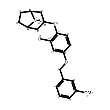 COc1cccc(COc2ccc(SC3CC4CCC(C3)N4C)c(Cl)c2)c1